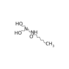 CCCCCCCC(=O)NCCN(CCO)CCO